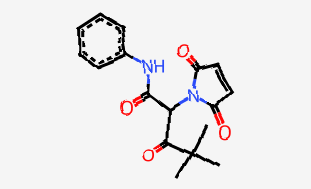 CC(C)(C)C(=O)C(C(=O)Nc1ccccc1)N1C(=O)C=CC1=O